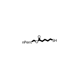 CCCCCCOC(=O)CCCCS